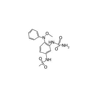 CON(c1ccccc1)c1ccc(NS(C)(=O)=O)cc1NS(N)(=O)=O